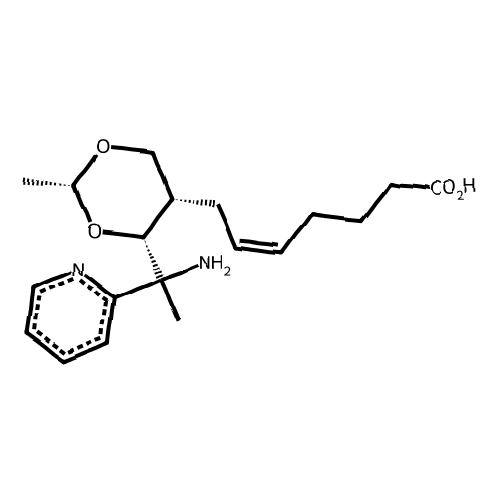 C[C@@H]1OC[C@H](C/C=C\CCCC(=O)O)[C@H](C(C)(N)c2ccccn2)O1